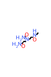 C=CNC(=O)C=CN(C=CC(N)=O)C(N)=O